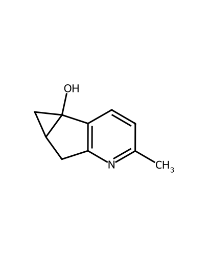 Cc1ccc2c(n1)CC1CC21O